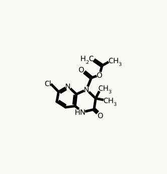 C=C(C)OC(=O)N1c2nc(Cl)ccc2NC(=O)C1(C)C